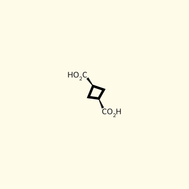 O=C(O)[C@H]1C[C@@H](C(=O)O)C1